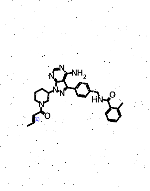 C/C=C/C(=O)N1CCCC(n2nc(-c3ccc(CNC(=O)c4ccccc4C)cc3)c3c(N)ncnc32)C1